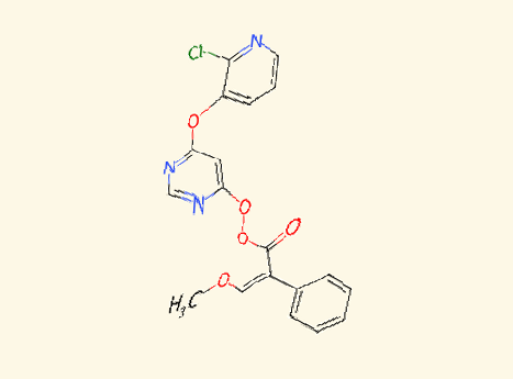 COC=C(C(=O)OOc1cc(Oc2cccnc2Cl)ncn1)c1ccccc1